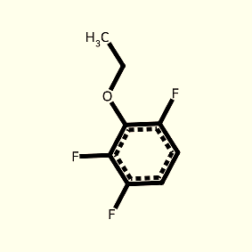 CCOc1c(F)ccc(F)c1F